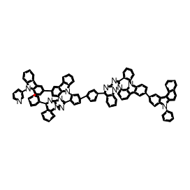 c1ccc(-c2nc3nc(-c4ccc(-c5ccc(-c6nc7nc(-c8ccccc8-n8c9ccccc9c9cc(-c%10ccc%11c(c%10)c%10c%12ccccc%12ccc%10n%11-c%10ccccc%10)ccc98)nn7c7ccccc67)cc5)cc4-n4c5ccccc5c5cc(-c6ccc7c(c6)c6ccccc6n7-c6cccnc6)ccc54)nn3c3ccccc23)cc1